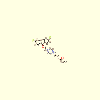 COC(=O)CCCCN1CCN(CCOC(c2ccc(F)cc2)c2ccc(F)cc2)CC1